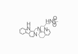 CS(=O)(=O)NCCCCN(Cc1nccc2c1[nH]c1ccccc12)[C@H]1CCCc2cccnc21